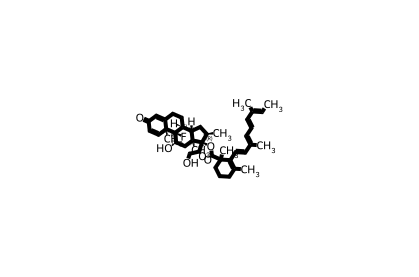 CC=C(C)C=CC=C(C)C=CC1=C(C)CCCC1(C)C(=O)O[C@]1(C(=O)CO)[C@H](C)C[C@H]2[C@@H]3CCC4=CC(=O)C=C[C@]4(C)[C@@]3(F)[C@@H](O)C[C@@]21C